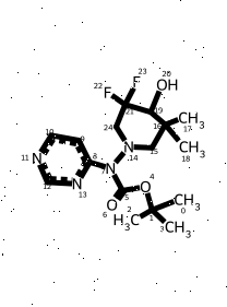 CC(C)(C)OC(=O)N(c1ccncn1)N1CC(C)(C)C(O)C(F)(F)C1